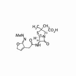 CNN=C1OCC=C1CC(=O)N[C@@H]1C(=O)N2[C@@H]1SC(C)(C)[C@@H]2C(=O)O